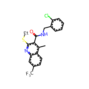 CCSc1nc2cc(C(F)(F)F)ccc2c(C)c1C(=O)NCc1ccccc1Cl